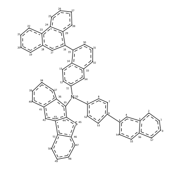 c1ccc2cc(-c3ccc(N(c4ccc5c(-c6cc7ccccc7c7ccccc67)cccc5c4)c4c5ccccc5cc5c4sc4ccccc45)cc3)ccc2c1